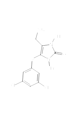 CC(=O)OCc1c(Sc2cc(Cl)cc(Cl)c2)n(C(C)C)c(=O)n1C